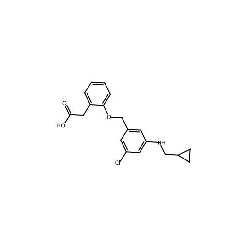 O=C(O)Cc1ccccc1OCc1cc(Cl)cc(NCC2CC2)c1